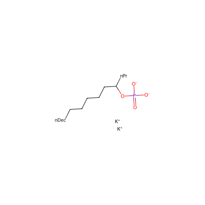 CCCCCCCCCCCCCCCC(CCC)OP(=O)([O-])[O-].[K+].[K+]